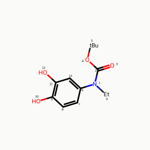 CCN(C(=O)OC(C)(C)C)c1ccc(O)c(O)c1